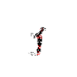 CCCCCCCCOc1ccc(COc2ccc(-c3ccc(C(=O)OC(CCCCCOCC)C(F)(F)F)cc3)cc2)cc1